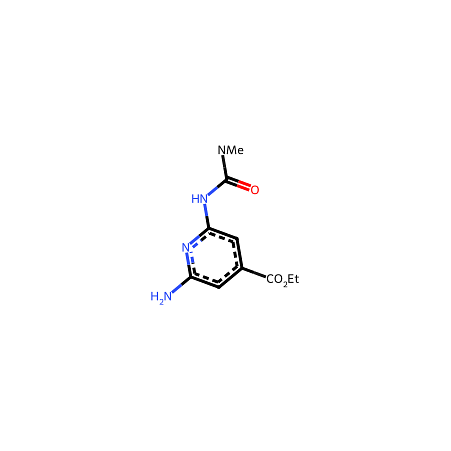 CCOC(=O)c1cc(N)nc(NC(=O)NC)c1